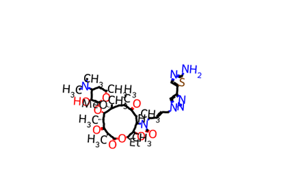 CC[C@H]1OC(=O)[C@H](C)C(=O)[C@H](C)[C@@H](O[C@@H]2O[C@H](C)CC(N(C)C)C2O)[C@](C)(OC)C[C@@H](C)C(=O)[C@H](C)[C@H]2N(C/C=C/Cn3cc(-c4cnc(N)s4)nn3)C(=O)O[C@]12C